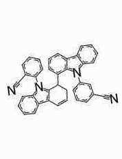 N#Cc1cccc(-n2c3ccccc3c3cccc(C4CC=Cc5c4n(-c4ccccc4C#N)c4ccccc54)c32)c1